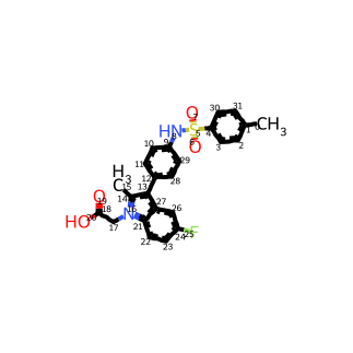 Cc1ccc(S(=O)(=O)Nc2ccc(-c3c(C)n(CC(=O)O)c4ccc(F)cc34)cc2)cc1